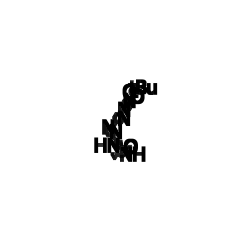 CC(C)(C)OC(=O)N1CCN(c2ccc(-c3nccc(-c4cc5c([nH]4)C4(CC4)CNC5=O)n3)cn2)CC1